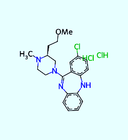 COCC[C@H]1CN(C2=Nc3ccccc3Nc3ccc(Cl)cc32)CCN1C.Cl.Cl